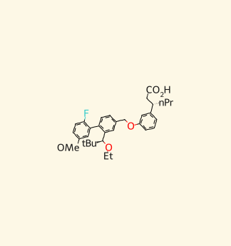 CCC[C@@H](CC(=O)O)c1cccc(OCc2ccc(-c3cc(OC)ccc3F)c([C@@H](OCC)C(C)(C)C)c2)c1